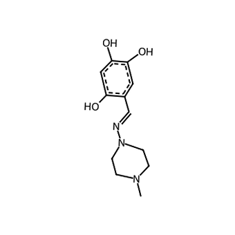 CN1CCN(/N=C/c2cc(O)c(O)cc2O)CC1